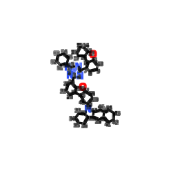 CC(/N=C(\N=C(/N)c1cccc2oc3ccccc3c12)c1cccc2c1oc1ccc(-n3c4ccccc4c4cc5ccccc5cc43)cc12)c1ccccc1